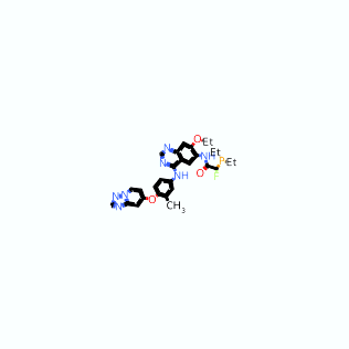 CCOc1cc2ncnc(Nc3ccc(Oc4ccn5ncnc5c4)c(C)c3)c2cc1NC(=O)C(F)P(CC)CC